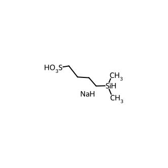 C[SiH](C)CCCCS(=O)(=O)O.[NaH]